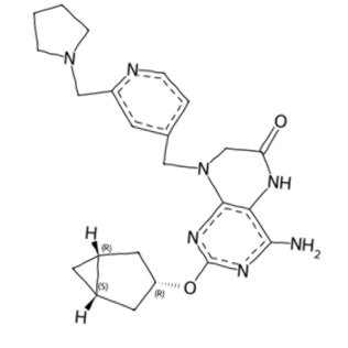 Nc1nc(O[C@@H]2C[C@@H]3C[C@@H]3C2)nc2c1NC(=O)CN2Cc1ccnc(CN2CCCC2)c1